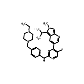 CCN1CCN(Cc2ccc(Nc3ncc(F)c(-c4cnc5nn(C)c(C(C)C)c5c4)n3)nc2)CC1